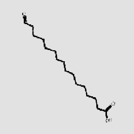 O=CCCCCCCCCCCCCCCC(=O)O